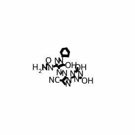 N#Cc1cnn(-c2nc(O)nc(O)n2)c1N=Nc1c(NC(N)=O)nn(-c2ccccc2)c1O